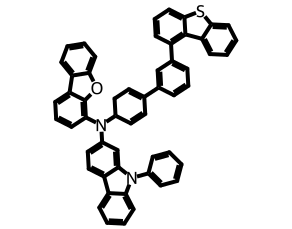 C1=CC(N(c2ccc3c4ccccc4n(-c4ccccc4)c3c2)c2cccc3c2oc2ccccc23)CC=C1c1cccc(-c2cccc3sc4ccccc4c23)c1